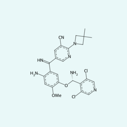 COc1cc(N)c(C(=N)c2cnc(N3CC(C)(C)C3)c(C#N)c2)cc1O[C@H](N)c1c(Cl)cncc1Cl